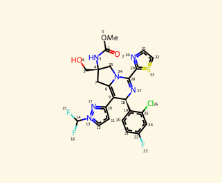 COC(=O)N[C@@]1(CO)CC2=C(c3ccn(C(F)F)n3)[C@H](c3ccc(F)cc3Cl)N=C(c3nccs3)N2C1